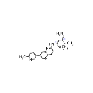 Cc1ccc(-c2cnc3ccc(N/C(N)=C/C(=C\N)C(C)C)nc3c2)cn1